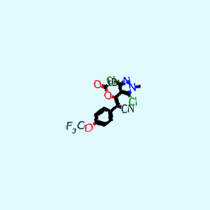 Cn1nc(Cl)c(C(OC(=O)C(C)(C)C)=C(C#N)c2ccc(OC(F)(F)F)cc2)c1Cl